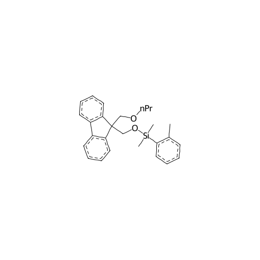 CCCOCC1(CO[Si](C)(C)c2ccccc2C)c2ccccc2-c2ccccc21